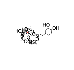 C[SiH]1O[Si]2(C)O[Si]3(C)O[Si](C)(O)O[Si]4(C)O[Si](C)(O3)O[Si](C)(O2)O[Si](CCC2CCC(O)C(O)C2)(O1)O4